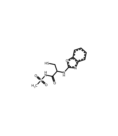 CS(=O)(=O)NC(=O)C(CS)Nc1nc2ccccc2o1